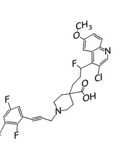 COc1ccc2ncc(Cl)c(C(F)CCC3(C(=O)O)CCN(CC#Cc4cc(F)cc(F)c4F)CC3)c2c1